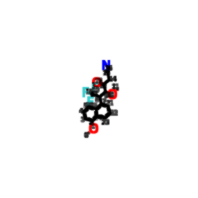 COc1cccc2c(C(C(OC)C(=O)CC#N)C(F)(F)F)cccc12